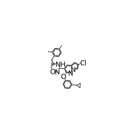 Cc1ccc(C[C@@H]2CON=C(c3cc4cc(Cl)cn4nc3Oc3cccc(C4CC4)c3)N2)c(C)c1